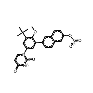 COc1c(-c2ccc3cc(O[SH](=O)=O)ccc3c2)cc(-n2ccc(=O)[nH]c2=O)cc1C(C)(C)C